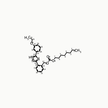 CCCCCCCCOC(=O)OCc1ccccc1-c1n[nH]c(-c2cccc(OCC)c2)n1